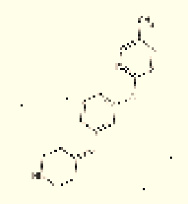 Cc1ccc(Oc2cccc(C=C3CCNCC3)c2)nc1